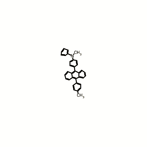 Cc1ccc(-c2c3ccccc3c(-c3ccc(N(C)c4ccccc4)cc3)c3ccccc23)cc1